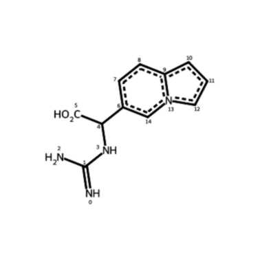 N=C(N)NC(C(=O)O)c1ccc2cccn2c1